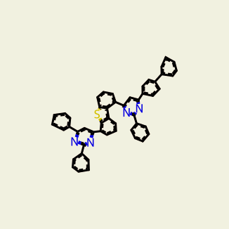 c1ccc(-c2ccc(-c3cc(-c4cccc5sc6c(-c7cc(-c8ccccc8)nc(-c8ccccc8)n7)cccc6c45)nc(-c4ccccc4)n3)cc2)cc1